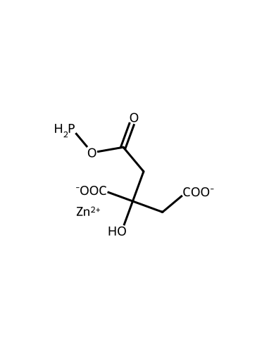 O=C([O-])CC(O)(CC(=O)OP)C(=O)[O-].[Zn+2]